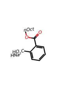 CCCCCCCCOC(=O)c1ccccc1C(=O)O.[NaH]